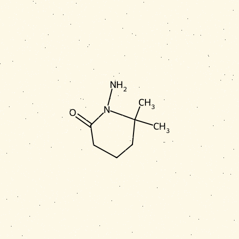 CC1(C)CCCC(=O)N1N